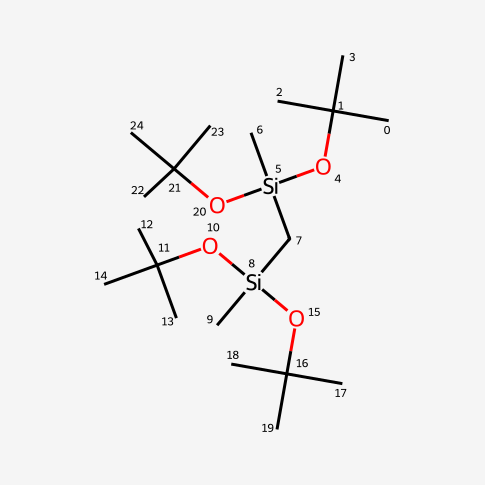 CC(C)(C)O[Si](C)(C[Si](C)(OC(C)(C)C)OC(C)(C)C)OC(C)(C)C